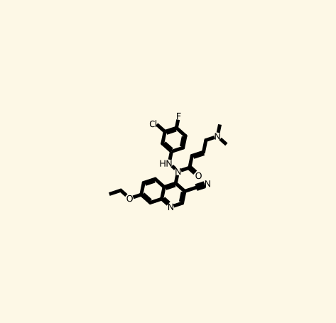 CCOc1ccc2c(N(Nc3ccc(F)c(Cl)c3)C(=O)C=CCN(C)C)c(C#N)cnc2c1